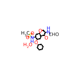 CS(=O)(=O)Nc1cc2occ(NC=O)c(=O)c2cc1Oc1ccccc1.O